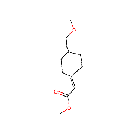 COCC1CCC(=CC(=O)OC)CC1